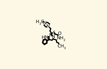 CCCCC(Cc1c[nH]c2ccccc12)N1N=C(CCN2CCN(C)CC2)SC1C(N)=O